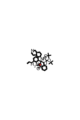 C=CCc1cccc(C(Cc2ccccc2S(C)(=O)=O)(C(N)=O)N(c2ccc3cnccc3c2)N(OC(C)(C)C)C(=O)OC(C)(C)C)c1